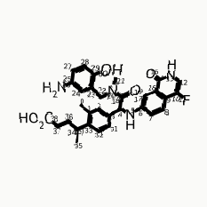 Cc1cc(C(Nc2ccc3c(F)c[nH]c(=O)c3c2)C(=O)N(C)Cc2cc(N)ccc2O)ccc1[C@@H](C)CCC(=O)O